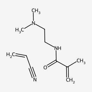 C=C(C)C(=O)NCCN(C)C.C=CC#N